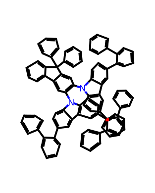 c1ccc(-c2ccccc2-c2ccc3c(c2)c2cc(-c4ccccc4-c4ccccc4)ccc2n3-c2cc3c(cc2-n2c4ccc(-c5ccccc5-c5ccccc5)cc4c4cc(-c5ccccc5-c5ccccc5)ccc42)C(c2ccccc2)(c2ccccc2)c2ccccc2-3)cc1